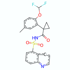 Cc1ccc(OC(F)F)c(C2(C(=O)NS(=O)(=O)c3cccc4ncccc34)CC2)c1